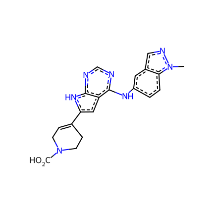 Cn1ncc2cc(Nc3ncnc4[nH]c(C5=CCN(C(=O)O)CC5)cc34)ccc21